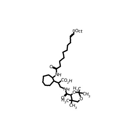 CCCCCCCCC=CCCCCCCCC(=O)NC1CCCCCC1C(CNC(=O)C1OC(C)(C)OCC1(C)C)C(=O)O